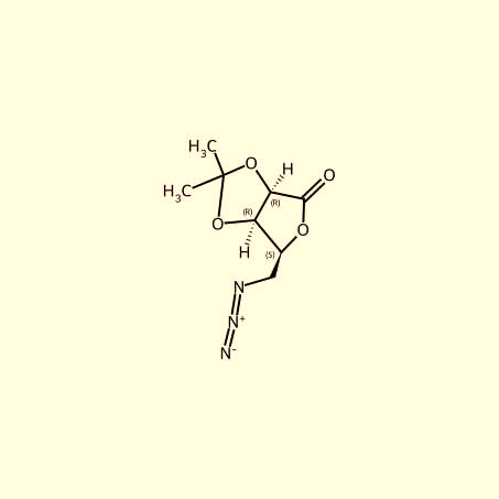 CC1(C)O[C@@H]2[C@H](CN=[N+]=[N-])OC(=O)[C@@H]2O1